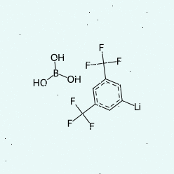 OB(O)O.[Li][c]1cc(C(F)(F)F)cc(C(F)(F)F)c1